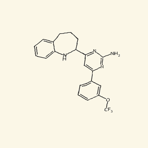 Nc1nc(-c2cccc(OC(F)(F)F)c2)cc(C2CCCc3ccccc3N2)n1